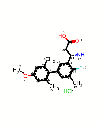 COc1cc(C)c(-c2cc(C)c(F)c([C@@H](N)CC(=O)O)c2)c(C)c1.Cl